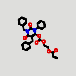 C=CC(=O)OCCOC(=O)Oc1c(Cc2ccccc2)c(=O)n(Cc2ccccc2)c(=O)n1-c1ccccc1